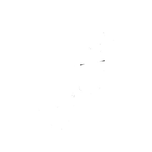 CC(CN1C[C@H]2C[C@@H](OC(=N)/C=C\C(=N)c3cc(F)ccc3Cl)C[C@H]2C1)C(C)(C)C